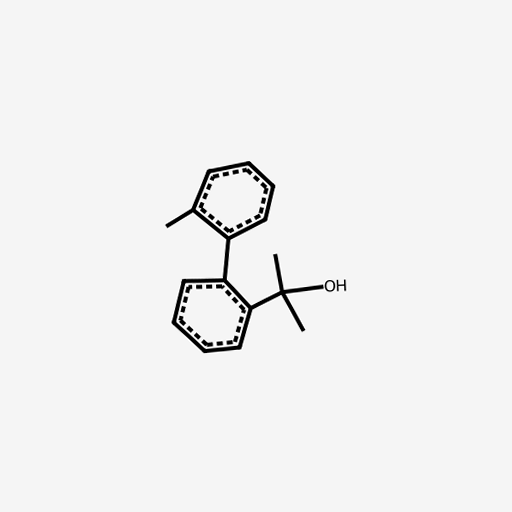 Cc1ccccc1-c1ccccc1C(C)(C)O